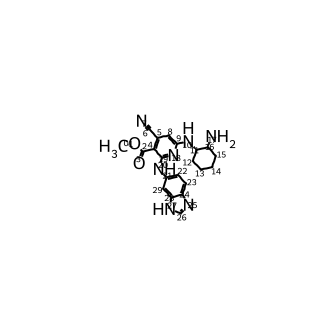 COC(=O)c1c(C#N)cc(N[C@@H]2CCCC[C@@H]2N)nc1Nc1ccc2nc[nH]c2c1